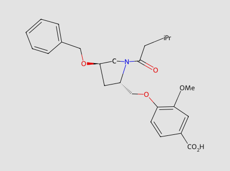 COc1cc(C(=O)O)ccc1OC[C@@H]1C[C@@H](OCc2ccccc2)CN1C(=O)CC(C)C